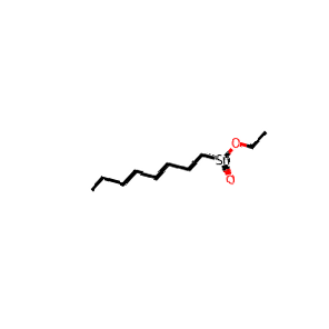 CCCCCCC[CH2][Sn](=[O])[O]CC